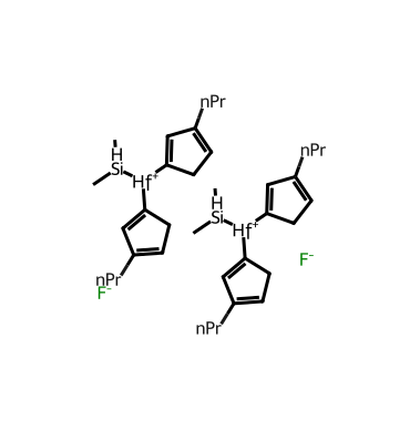 CCCC1=CC[C]([Hf+]([C]2=CC(CCC)=CC2)[SiH](C)C)=C1.CCCC1=CC[C]([Hf+]([C]2=CC(CCC)=CC2)[SiH](C)C)=C1.[F-].[F-]